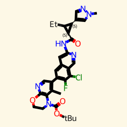 CCC1[C@H](C(=O)Nc2cc3cc(-c4cnc5c(c4C)N(C(=O)OC(C)(C)C)CCO5)c(F)c(Cl)c3cn2)[C@H]1c1cnn(C)c1